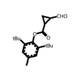 Cc1cc(C(C)(C)C)c(OC(=O)C2CC2C=O)c(C(C)(C)C)c1